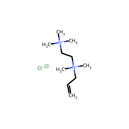 C=CC[N+](C)(C)CC[N+](C)(C)C.[Cl-].[Cl-]